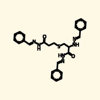 O=C(CCSCC(NN=Cc1ccccc1)C(=O)NN=Cc1ccccc1)NN=Cc1ccccc1